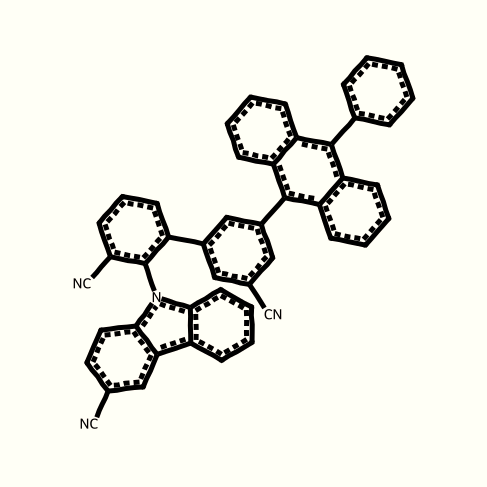 N#Cc1cc(-c2cccc(C#N)c2-n2c3ccccc3c3cc(C#N)ccc32)cc(-c2c3ccccc3c(-c3ccccc3)c3ccccc23)c1